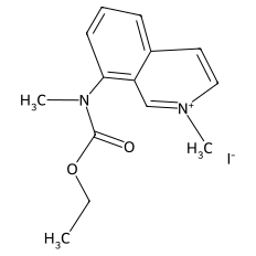 CCOC(=O)N(C)c1cccc2cc[n+](C)cc12.[I-]